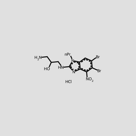 CCCn1c(NCC(O)CN)nc2c([N+](=O)[O-])c(Br)c(Br)cc21.Cl